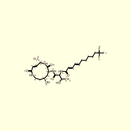 CC(O)C(NC(=O)/C=C/C=C/CCCCCC(F)(F)F)C(=O)N[C@H]1C[C@@H](O)CCNC(=O)/C=C/[C@H](C)NC1=O